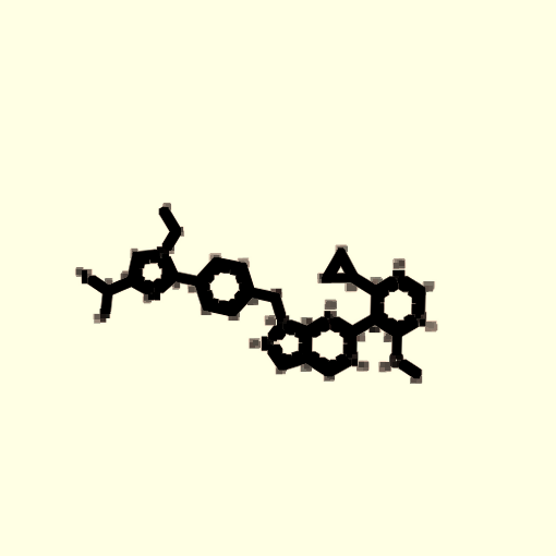 CCn1cc(C(F)F)nc1-c1ccc(Cn2ncc3cnc(-c4c(OC)ncnc4C4CC4)nc32)cc1